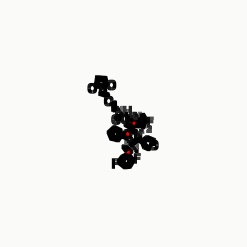 NC(COC(=O)NCCOCCN1C(=O)C=CC1=O)C(=O)N(C[C@@H]1CNC[C@@H]1F)[C@@H](c1nc(-c2cc(F)ccc2F)cn1Cc1ccccc1)C1CCOCC1